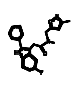 Cc1cc(CN(C)C(=O)Cc2c(-c3ccccc3)[nH]c3ccc(F)cc23)on1